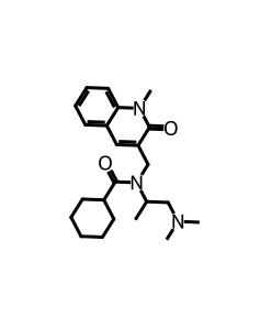 CC(CN(C)C)N(Cc1cc2ccccc2n(C)c1=O)C(=O)C1CCCCC1